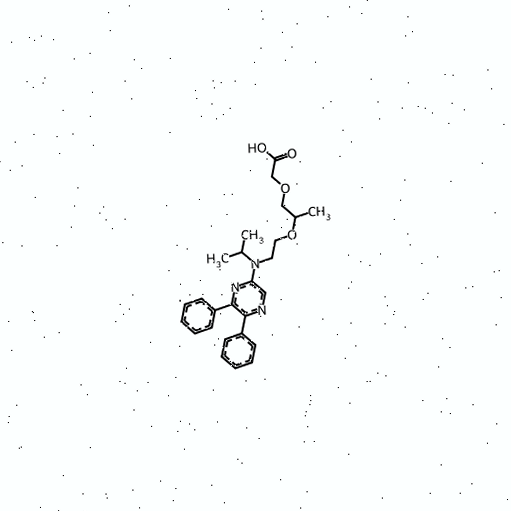 CC(COCC(=O)O)OCCN(c1cnc(-c2ccccc2)c(-c2ccccc2)n1)C(C)C